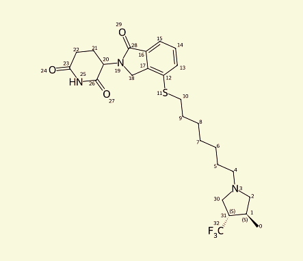 C[C@@H]1CN(CCCCCCCSc2cccc3c2CN(C2CCC(=O)NC2=O)C3=O)C[C@H]1C(F)(F)F